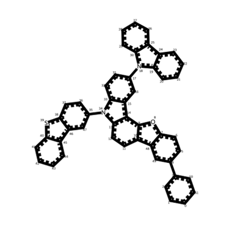 c1ccc(-c2ccc3oc4c(ccc5c4c4cc(-n6c7ccccc7c7ccccc76)ccc4n5-c4ccc5sc6ccccc6c5c4)c3c2)cc1